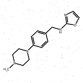 CN1CCN(c2ccc(CNc3ncco3)cc2)CC1